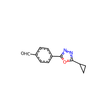 O=Cc1ccc(-c2nnc(C3CC3)o2)cc1